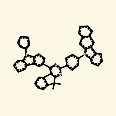 CC1(C)c2ccccc2-c2c(-c3ccc4c(c3)c3ccccc3n4-c3ccccc3)nc(-c3ccc(-n4c5ccccc5c5cc6ccccc6cc54)cc3)nc21